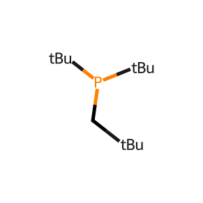 CC(C)(C)CP(C(C)(C)C)C(C)(C)C